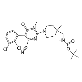 Cn1c(N2CCC(C)(CNC(=O)OC(C)(C)C)CC2)nc(C#N)c(-c2cccc(Cl)c2Cl)c1=O